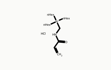 C=CC(=O)NC[N+](CCCCCC)(CCCCCC)CCCCCC.Cl